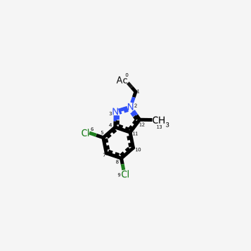 CC(=O)Cn1nc2c(Cl)cc(Cl)cc2c1C